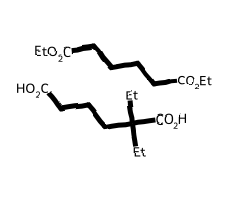 CCC(CC)(CCCC(=O)O)C(=O)O.CCOC(=O)CCCCC(=O)OCC